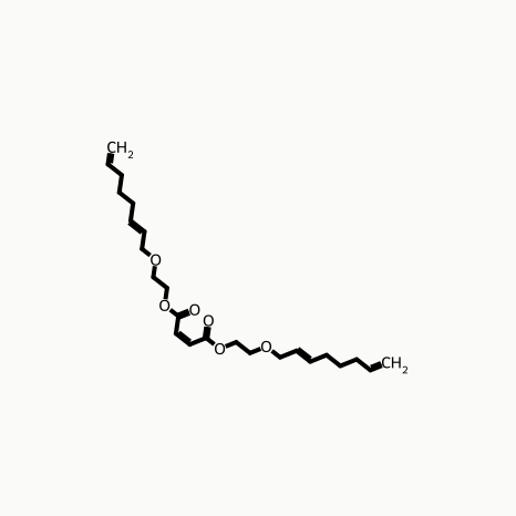 C=CCCCC=CCOCCOC(=O)/C=C\C(=O)OCCOCC=CCCCC=C